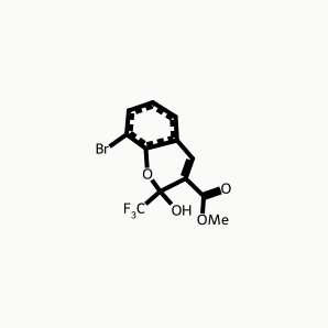 COC(=O)C1=Cc2cccc(Br)c2OC1(O)C(F)(F)F